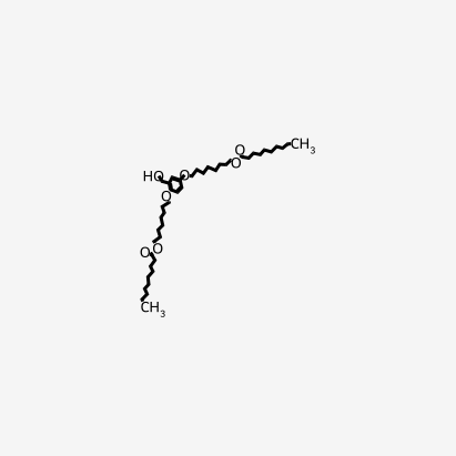 CCCCCCCCCC(=O)OCCCCCCCCOc1ccc(OCCCCCCCCOC(=O)CCCCCCCCC)c(CO)c1